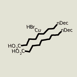 Br.CCCCCCCCCCCCCCCCCC(=O)O.CCCCCCCCCCCCCCCCCC(=O)O.[Cu]